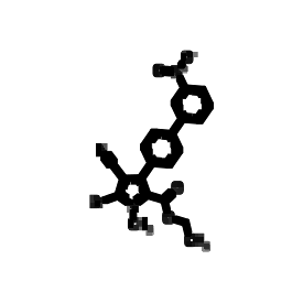 CCOC(=O)c1c(-c2ccc(-c3cccc([N+](=O)[O-])c3)cc2)c(C#N)c(Br)n1C